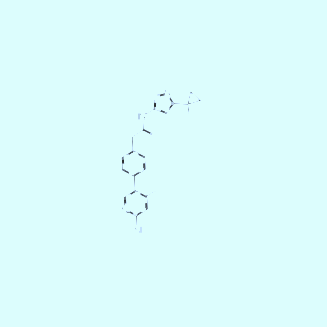 CC1(c2cc(NC(=O)Cc3ccc(-c4cnc(N)cc4Cl)cc3)on2)CC1